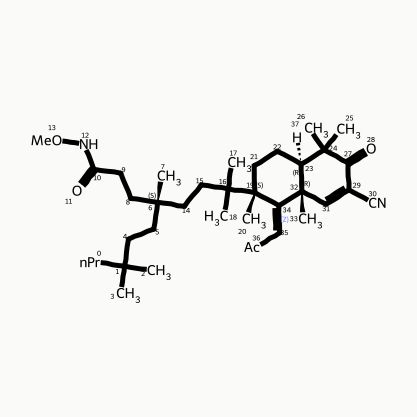 CCCC(C)(C)CC[C@](C)(CCC(=O)NOC)CCC(C)(C)[C@]1(C)CC[C@H]2C(C)(C)C(=O)C(C#N)=C[C@]2(C)/C1=C/C(C)=O